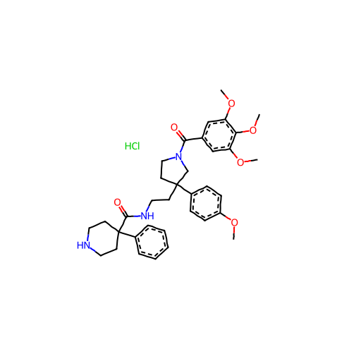 COc1ccc(C2(CCNC(=O)C3(c4ccccc4)CCNCC3)CCN(C(=O)c3cc(OC)c(OC)c(OC)c3)C2)cc1.Cl